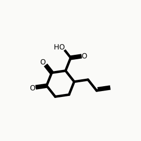 C=CCC1CCC(=O)C(=O)C1C(=O)O